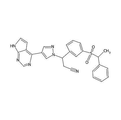 CC(c1ccccc1)S(=O)(=O)c1cccc(C(CC#N)n2cc(-c3ncnc4[nH]ccc34)cn2)c1